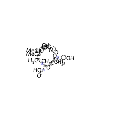 CO[C@H]1C[C@@H](C)C/C(C)=C/[C@@H](C/C=C/C2(O)COC2)C(=O)CC[C@@H](C)[C@@H](/C(C)=C/[C@H]2CC[C@H](O)CC2)OC(=O)C2CCCCN2C(=O)C(=O)[C@]2(O)O[C@H]1[C@@H](OC)C[C@H]2C